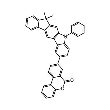 CC1(C)c2ccccc2-c2cc3c4cc(-c5ccc6c(c5)c(=O)oc5ccccc56)ccc4n(-c4ccccc4)c3cc21